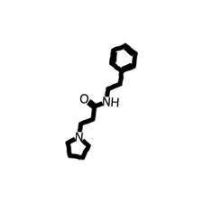 O=C(CCN1CCCC1)NCCc1ccccc1